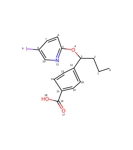 CCCC(Oc1ccc(I)cn1)c1ccc(C(=O)O)cc1